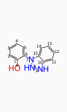 Oc1c[c]ccc1N1NNc2ccccc21